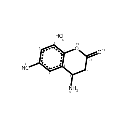 Cl.N#Cc1ccc2c(c1)C(N)CC(=O)O2